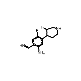 N=Cc1cc(F)c(C2CCNCC2F)cc1N